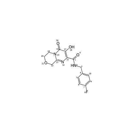 O=C(NCc1ccc(F)cc1)c1nc2n(c(=O)c1O)CCOC2